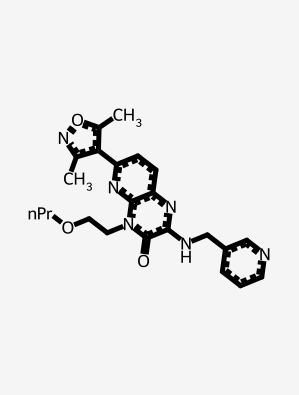 CCCOCCn1c(=O)c(NCc2cccnc2)nc2ccc(-c3c(C)noc3C)nc21